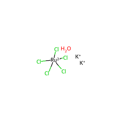 O.[Cl][Ru-2]([Cl])([Cl])([Cl])[Cl].[K+].[K+]